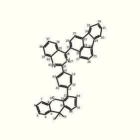 CC1(C)c2ccccc2Sc2c(-c3ccc(-c4nc(-c5ccc6c7c(cccc57)-c5ccccc5-6)c5ccccc5n4)cc3)cccc21